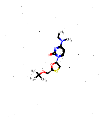 CCN(C)c1ccn([C@H]2CS[C@@H](COC(C)(C)C)O2)c(=O)n1